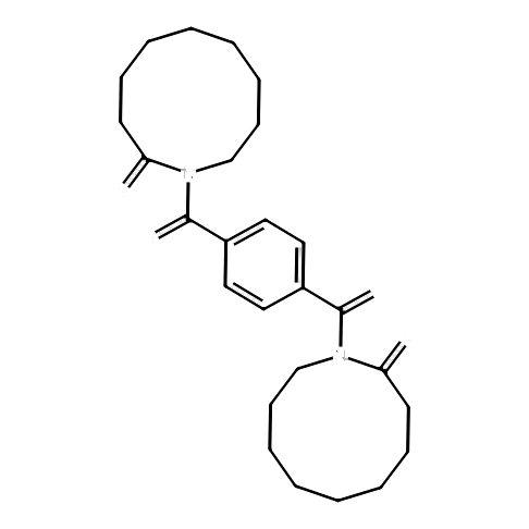 O=C1CCCCCCCCN1C(=O)c1ccc(C(=O)N2CCCCCCCCC2=O)cc1